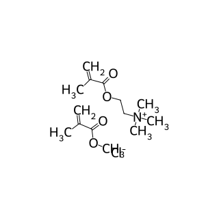 C=C(C)C(=O)OC.C=C(C)C(=O)OCC[N+](C)(C)C.[Cl-]